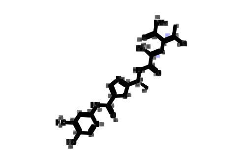 CC/C(C)=C(\C=C(\C(=O)N[C@H](C)c1ncc(C(=O)Nc2cc(C(F)(F)F)c(O)cn2)s1)[C@H](C)CC)C(=O)NC